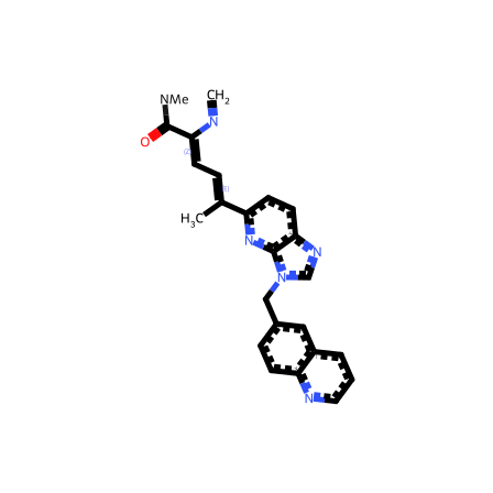 C=N/C(=C\C=C(/C)c1ccc2ncn(Cc3ccc4ncccc4c3)c2n1)C(=O)NC